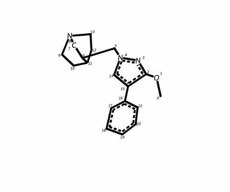 COc1nn(CC2CN3CCC2CC3)cc1-c1ccccc1